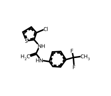 C=C(Nc1ccc(C(C)(F)F)cc1)Nc1sccc1Cl